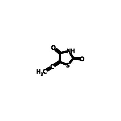 C=C=C1SC(=O)NC1=O